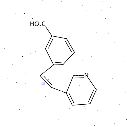 O=C(O)c1cccc(/C=C\c2cccnc2)c1